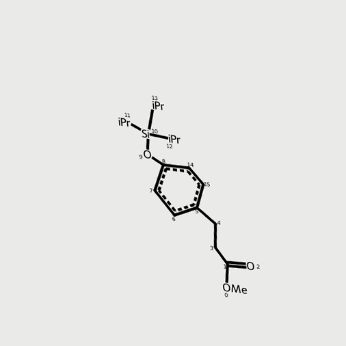 COC(=O)CCc1ccc(O[Si](C(C)C)(C(C)C)C(C)C)cc1